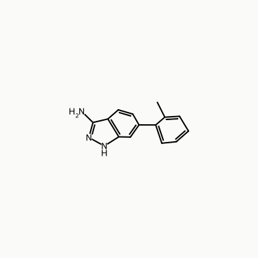 Cc1ccccc1-c1ccc2c(N)n[nH]c2c1